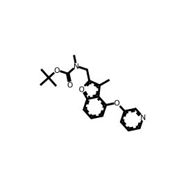 Cc1c(CN(C)C(=O)OC(C)(C)C)oc2cccc(Oc3cccnc3)c12